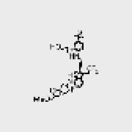 COCC(O)CN1CCC(Nc2cccc3c(CC(F)(F)F)c(C#CCNc4ccc(P(C)(C)=O)cc4OCCO)sc23)C(F)C1